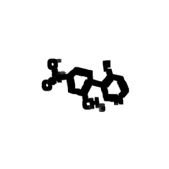 Cc1cc([N+](=O)[O-])ccc1-c1cnccc1F